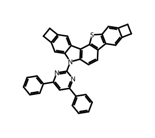 c1ccc(-c2cc(-c3ccccc3)nc(-n3c4cc5c(cc4c4c6sc7cc8c(cc7c6ccc43)CC8)CC5)n2)cc1